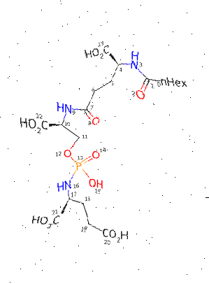 CCCCCCC(=O)N[C@@H](CCC(=O)N[C@@H](COP(=O)(O)N[C@@H](CCC(=O)O)C(=O)O)C(=O)O)C(=O)O